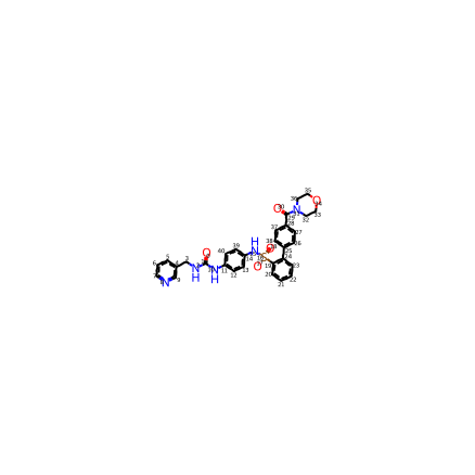 O=C(NCc1cccnc1)Nc1ccc(NS(=O)(=O)c2ccccc2-c2ccc(C(=O)N3CCOCC3)cc2)cc1